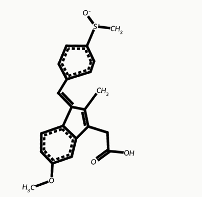 COc1ccc2c(c1)C(CC(=O)O)=C(C)C2=Cc1ccc([S+](C)[O-])cc1